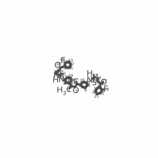 CC(C(=O)C(C)c1cccc(Nc2ncc(C(=O)c3ccccc3F)s2)c1)c1cccc(Nc2ncc(C(=O)c3ccccc3F)s2)c1